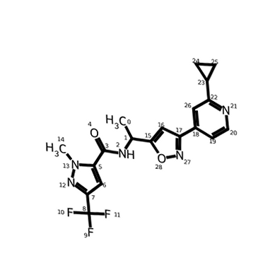 CC(NC(=O)c1cc(C(F)(F)F)nn1C)c1cc(-c2ccnc(C3CC3)c2)no1